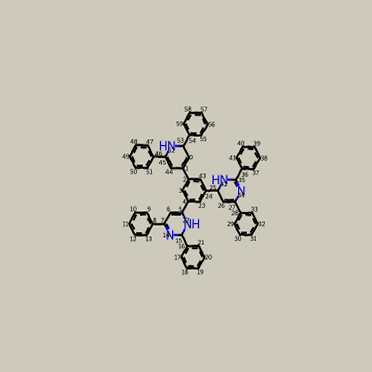 C1=C(c2cc(C3=CC(c4ccccc4)=NC(c4ccccc4)N3)cc(C3C=C(c4ccccc4)N=C(c4ccccc4)N3)c2)C=C(c2ccccc2)NC1c1ccccc1